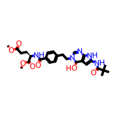 COC(=O)CC[C@@H](NC(=O)c1ccc(CCN2C=Nc3[nH]c(NC(=O)C(C)(C)C)cc3C2O)cc1)C(=O)OC